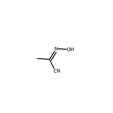 [CH2]/C(C#N)=N/O